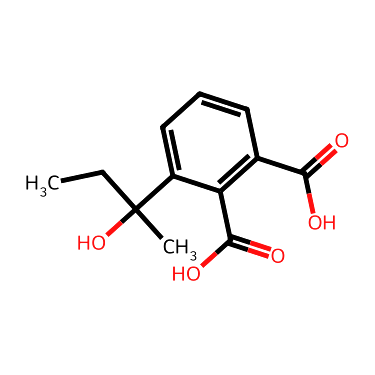 CCC(C)(O)c1cccc(C(=O)O)c1C(=O)O